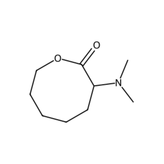 CN(C)C1CCCCCOC1=O